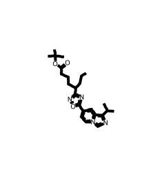 CCCC(CCCC(=O)OC(C)(C)C)c1noc(-c2ccn3cnc(C(C)C)c3c2)n1